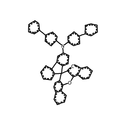 c1ccc(-c2ccc(N(c3ccc(-c4ccccc4)cc3)c3ccc4c(c3)-c3ccccc3C43c4ccc5ccccc5c4Oc4c3ccc3ccccc43)cc2)cc1